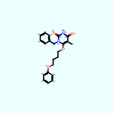 Cc1c(SCCCCOc2ccccc2)n(Cc2ccccc2)c(=O)[nH]c1=O